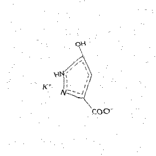 O=C([O-])c1cc(O)[nH]n1.[K+]